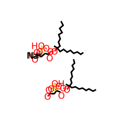 CCCCCCCCC(C)(CCCCCCCC)OOC(=O)C(CC(=O)[O-])S(=O)(=O)O.CCCCCCCCC(C)(CCCCCCCC)OOC(=O)C(CC(=O)[O-])S(=O)(=O)O.[Na+].[Na+]